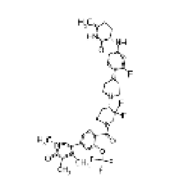 C=C1CC[C@H](Nc2ccc(N3CCN([C@H]4CCN(C(=O)c5ccc(-c6cn(C)c(=O)c(C)c6C)cc5OC(F)(F)F)CC4(F)F)CC3)c(F)c2)C(=O)N1